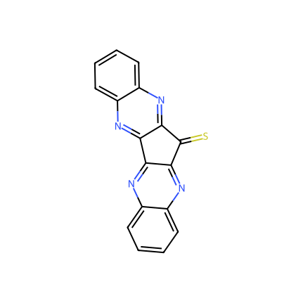 S=C1c2nc3ccccc3nc2-c2nc3ccccc3nc21